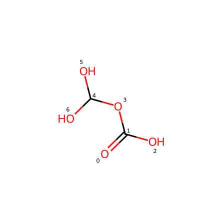 O=C(O)OC(O)O